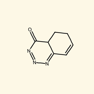 O=C1N=NN=C2C=CCCC12